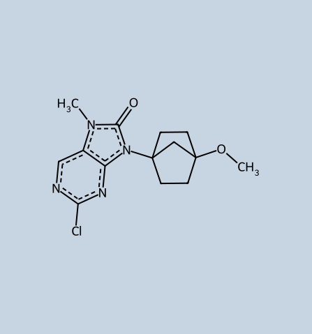 COC12CCC(n3c(=O)n(C)c4cnc(Cl)nc43)(CC1)C2